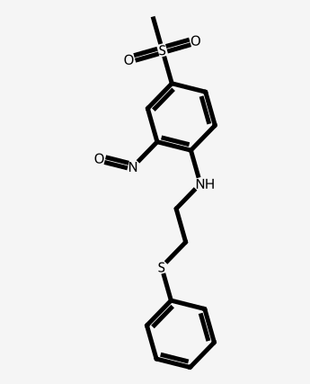 CS(=O)(=O)c1ccc(NCCSc2ccccc2)c(N=O)c1